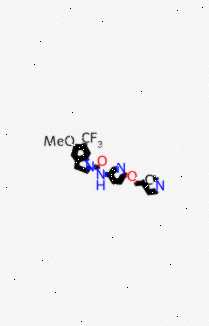 COc1cc2c(cc1C(F)(F)F)N(C(=O)Nc1ccc(OCc3ccncc3)nc1)CC2